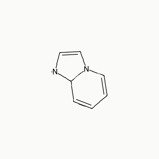 C1=CC2[N]C=CN2C=C1